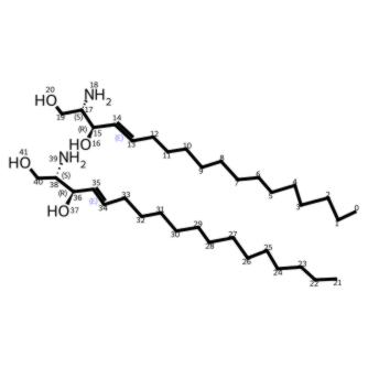 CCCCCCCCCCCCC/C=C/[C@@H](O)[C@@H](N)CO.CCCCCCCCCCCCC/C=C/[C@@H](O)[C@@H](N)CO